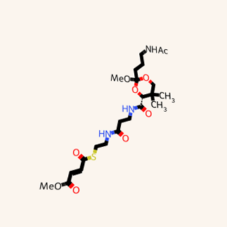 COC(=O)/C=C/C(=O)SCCNC(=O)CCNC(=O)[C@@H]1OC(CCCNC(C)=O)(OC)OCC1(C)C